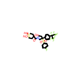 O=C(N1CCC(c2ccc(C(F)(C(F)(F)F)C(F)(F)F)cc2)(S(=O)(=O)c2ccc(F)cc2)C1)C1(O)CCS(O)(O)CC1